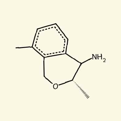 Cc1cccc2c1CO[C@@H](C)C2N